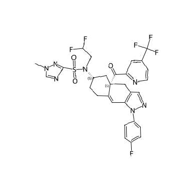 Cn1cnc(S(=O)(=O)N(CC(F)F)[C@H]2CCC3=Cc4c(cnn4-c4ccc(F)cc4)C[C@]3(C(=O)c3cc(C(F)(F)F)ccn3)C2)n1